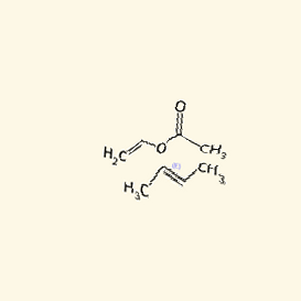 C/C=C/C.C=COC(C)=O